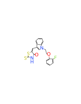 O=C1NC(=S)S/C1=C/c1cn(CCOc2ccccc2F)c2ccccc12